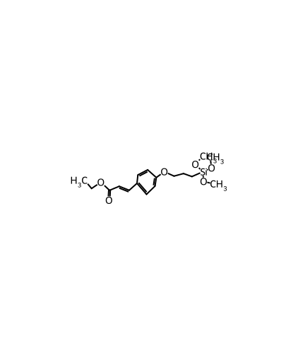 CCOC(=O)C=Cc1ccc(OCCC[Si](OC)(OC)OC)cc1